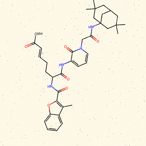 COC(=O)/C=C/CCC(NC(=O)c1oc2ccccc2c1C)C(=O)Nc1cccn(CC(=O)NC23CC(CC(C)(C)C2)CC(C)(C)C3)c1=O